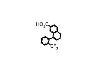 O=C(O)c1ccc2c(c1)C(c1ccccc1C(F)(F)F)=CCC2